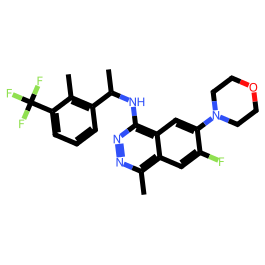 Cc1c(C(C)Nc2nnc(C)c3cc(F)c(N4CCOCC4)cc23)cccc1C(F)(F)F